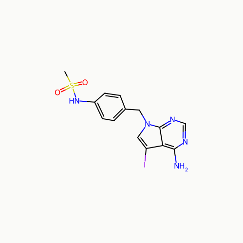 CS(=O)(=O)Nc1ccc(Cn2cc(I)c3c(N)ncnc32)cc1